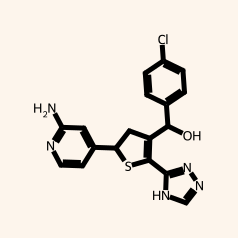 Nc1cc(C2CC(C(O)c3ccc(Cl)cc3)=C(c3nnc[nH]3)S2)ccn1